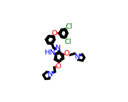 Clc1cc(Cl)cc(Oc2cccc(-c3nc4c(OCCN5CCCC5)cc(OCCN5CCCC5)cc4[nH]3)c2)c1